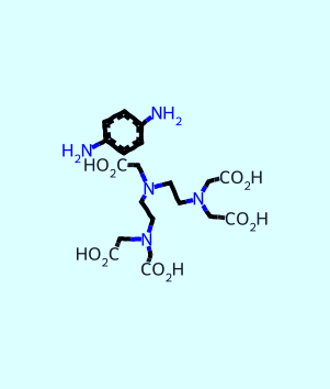 Nc1ccc(N)cc1.O=C(O)CN(CCN(CC(=O)O)CC(=O)O)CCN(CC(=O)O)CC(=O)O